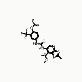 CO[C@@H](C)c1c(NC(=O)Nc2ccc(OC(F)F)c(C(F)(F)F)c2)cnc2sc(C)nc12